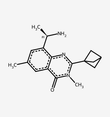 Cc1cc([C@@H](C)N)c2nc(C34CC(C3)C4)n(C)c(=O)c2c1